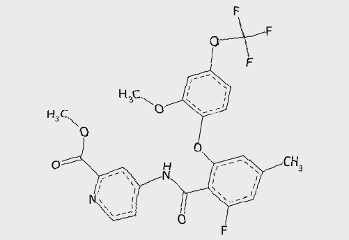 COC(=O)c1cc(NC(=O)c2c(F)cc(C)cc2Oc2ccc(OC(F)(F)F)cc2OC)ccn1